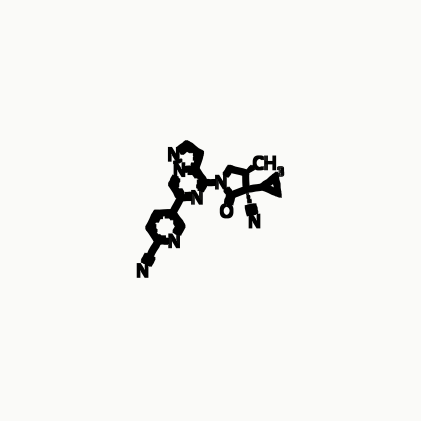 C[C@@H]1CN(c2nc(-c3ccc(C#N)nc3)cn3nccc23)C(=O)[C@]1(C#N)C1CC1